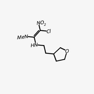 CNC(NCCC1CCOC1)=C(Cl)[N+](=O)[O-]